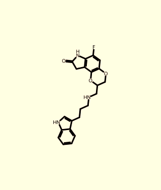 O=C1Cc2c(c(F)cc3c2OC(CNCCCc2c[nH]c4ccccc24)CO3)N1